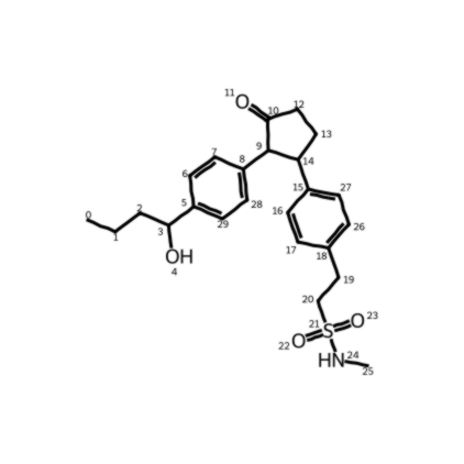 CCCC(O)c1ccc(C2C(=O)CCC2c2ccc(CCS(=O)(=O)NC)cc2)cc1